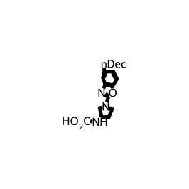 CCCCCCCCCCc1ccc2oc(N3CCC(NC(=O)O)C3)nc2c1